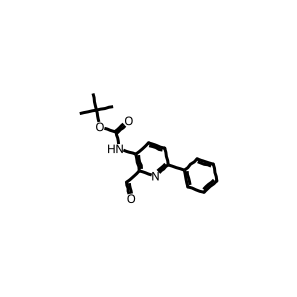 CC(C)(C)OC(=O)Nc1ccc(-c2ccccc2)nc1C=O